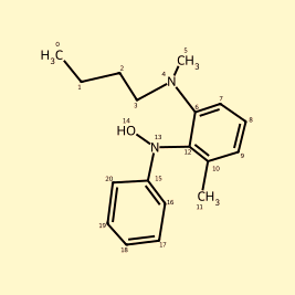 CCCCN(C)c1cccc(C)c1N(O)c1ccccc1